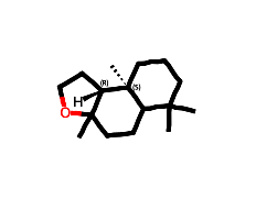 CC1(C)CCC[C@@]2(C)C1CCC1(C)OCC[C@@H]12